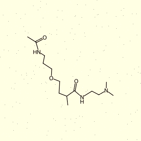 CC(=O)NCCCOCCC(C)C(=O)NCCN(C)C